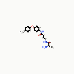 Cc1ccc(Oc2ccc(NC(=O)CCCNC(=O)[C@@H](C)N)cc2)cc1